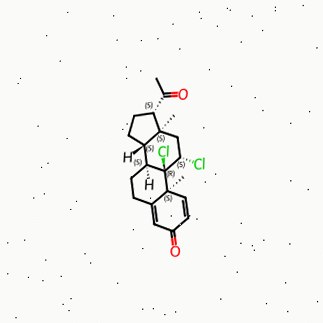 CC(=O)[C@H]1CC[C@H]2[C@@H]3CCC4=CC(=O)C=C[C@]4(C)[C@@]3(Cl)[C@@H](Cl)C[C@]12C